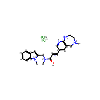 CN1CCNc2ncc(/C=C/C(=O)N(C)Cc3cc4ccccc4n3C)cc2C1.Cl.Cl